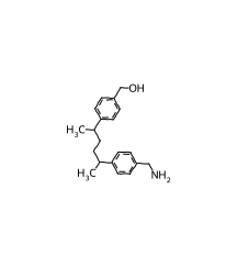 CC(CCC(C)c1ccc(CO)cc1)c1ccc(CN)cc1